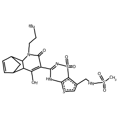 CC(C)(C)CCN1C(=O)C(C2=NS(=O)(=O)c3c(CNS(C)(=O)=O)csc3N2)=C(O)C2C3C=CC(C3)C21